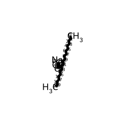 CCCCCCCCCCCCC(CCCCCCCC)S(=O)(=O)[O-].[Na+]